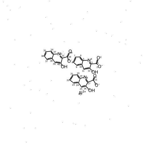 O=C([O-])c1nc2ccccc2cc1O.O=C([O-])c1nc2ccccc2cc1O.O=C([O-])c1nc2ccccc2cc1O.[Al+3]